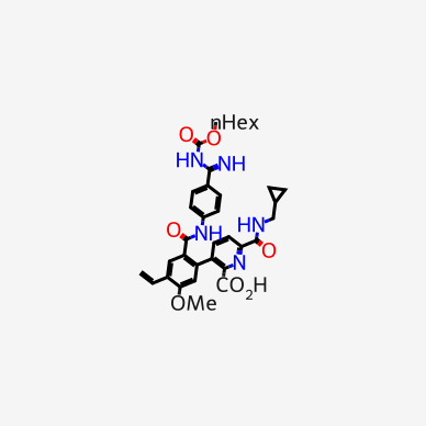 C=Cc1cc(C(=O)Nc2ccc(C(=N)NC(=O)OCCCCCC)cc2)c(-c2ccc(C(=O)NCC3CC3)nc2C(=O)O)cc1OC